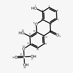 O=c1c2cccc(O)c2oc2c(O)c(OP(=O)(O)O)ccc12